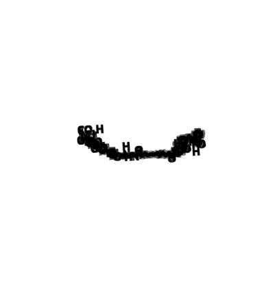 O=C(O)CNC(=O)c1ccc(S(=O)(=O)N2CCC(c3ccc(OCCNCCNC(=O)CCCCCCCCCCC(=O)N4CCN(C(=O)c5cc(Cc6n[nH]c(=O)c7ccccc67)ccc5F)CC4)cc3)CC2)cc1